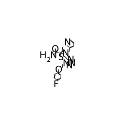 CC1=C(C(N)=O)SC(c2nnnn2CCOc2ccc(F)cc2)N1Cc1cccnc1